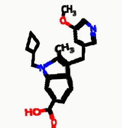 COc1cncc(Cc2c(C)n(CC3CCC3)c3cc(C(=O)O)ccc23)c1